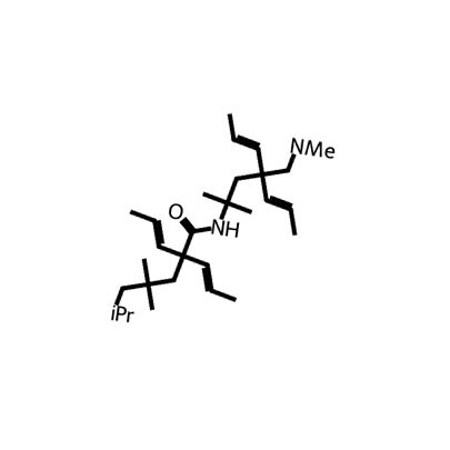 CC=CC(C=CC)(CNC)CC(C)(C)NC(=O)C(C=CC)(C=CC)CC(C)(C)CC(C)C